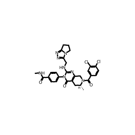 CNC(=O)c1ccc(-n2c(NCc3nnc4n3CCC4)nc3c(c2=O)C[C@@H](C)N(C(=O)c2ccc(Cl)c(Cl)c2)C3)cc1